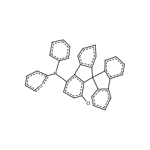 Clc1ccc(N(c2ccccc2)c2ccccc2)c2c1C1(c3ccccc3-c3ccccc31)c1ccccc1-2